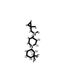 CN(CC1(C)CC1)C1CCN([C@H]2CCCC(F)(F)C2)CC1